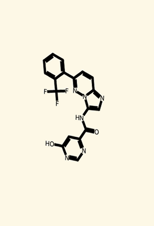 O=C(Nc1cnc2ccc(-c3ccccc3C(F)(F)F)nn12)c1cc(O)ncn1